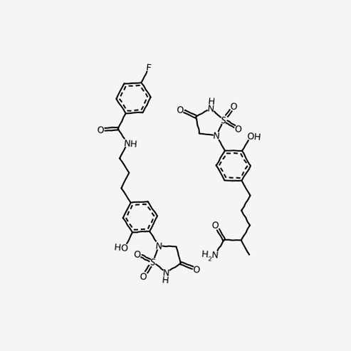 CC(CCCc1ccc(N2CC(=O)NS2(=O)=O)c(O)c1)C(N)=O.O=C1CN(c2ccc(CCCNC(=O)c3ccc(F)cc3)cc2O)S(=O)(=O)N1